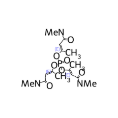 CNC(=O)/C=C(\C)OP(=O)(O/C(C)=C/C(=O)NC)O/C(C)=C/C(=O)NC